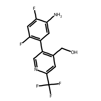 Nc1cc(-c2cnc(C(F)(F)F)cc2CO)c(F)cc1F